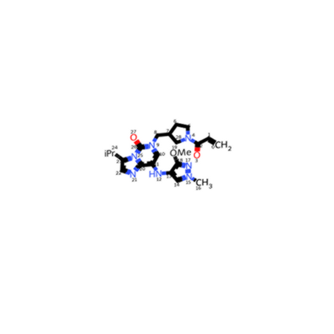 C=CC(=O)N1CCC(Cn2cc(Nc3cn(C)nc3OC)c3ncc(C(C)C)n3c2=O)C1